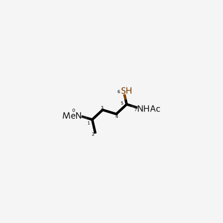 CNC(C)CCC(S)NC(C)=O